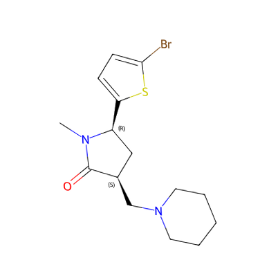 CN1C(=O)[C@H](CN2CCCCC2)C[C@@H]1c1ccc(Br)s1